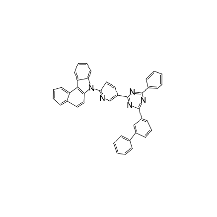 c1ccc(-c2cccc(-c3nc(-c4ccccc4)nc(-c4ccc(-n5c6ccccc6c6c7ccccc7ccc65)nc4)n3)c2)cc1